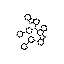 c1ccc(-c2ccc(N(c3cc4c(oc5cccc(-c6cccc(-c7ccccc7)c6)c54)c4ccccc34)c3cccc4c3oc3ccccc34)cc2)cc1